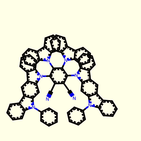 N#Cc1c(C#N)c(-n2c3ccccc3c3cc4c5ccccc5n(-c5ccccc5)c4cc32)c(-n2c3ccccc3c3ccccc32)c(-n2c3ccccc3c3ccccc32)c1-n1c2ccccc2c2cc3c4ccccc4n(-c4ccccc4)c3cc21